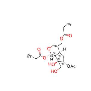 CC(=O)O[C@H]1C[C@@H]2C(COC(=O)CC(C)C)=CO[C@@H](OC(=O)CC(C)C)[C@@H]2[C@@]1(O)CO